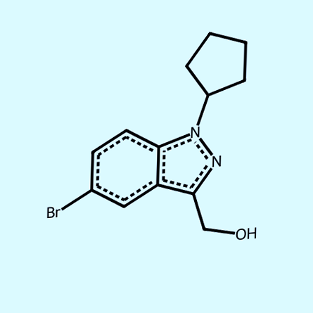 OCc1nn(C2CCCC2)c2ccc(Br)cc12